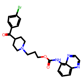 O=C(Nc1cccc2nccnc12)OCCCN1CCC(C(=O)c2ccc(Br)cc2)CC1